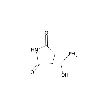 O=C1CCC(=O)N1.OCP